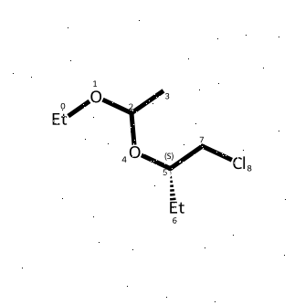 CCOC(C)O[C@@H](CC)CCl